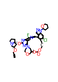 C#CCO[C@@H]1CN2CCC[C@@]2(COc2nc3c4cnc(c(F)c4n2)-c2c(c(Cl)cc4c2cnn4C2CCCCO2)CCCOC(=O)O[C@@H]2COCCN3C2)C1